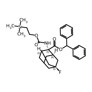 C[Si](C)(C)CCOC(=O)N[C@]1(C(=O)OC(c2ccccc2)c2ccccc2)[C@@H]2CC3C[C@H]1C[C@@](F)(C3)C2